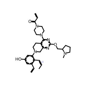 C=CC(=O)N1CCN(c2nc(OCC3CCCN3C)nc3c2CCN(c2cc(O)cc(C=C)c2/C=C\C)C3)CC1